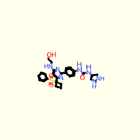 O=C(Nc1ccc(-c2nc(NCCO)cc(C3(S(=O)(=O)c4ccccc4)CCC3)n2)cc1)NC1CNNC1